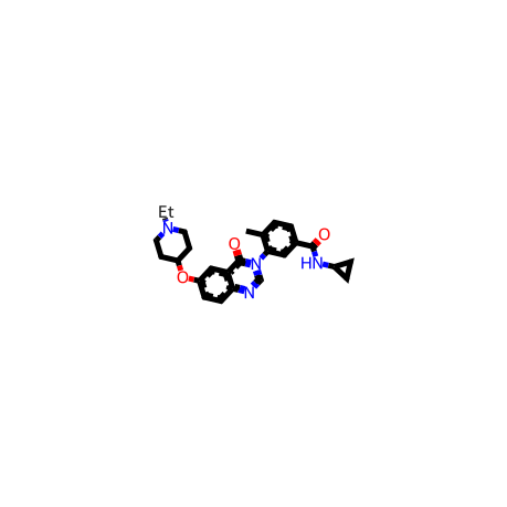 CCN1CCC(Oc2ccc3ncn(-c4cc(C(=O)NC5CC5)ccc4C)c(=O)c3c2)CC1